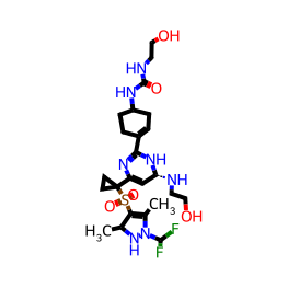 CC1=C(S(=O)(=O)C2(C3=C[C@@H](NCCO)NC(C4=CCC(NC(=O)NCCO)CC4)=N3)CC2)C(C)NN1C(F)F